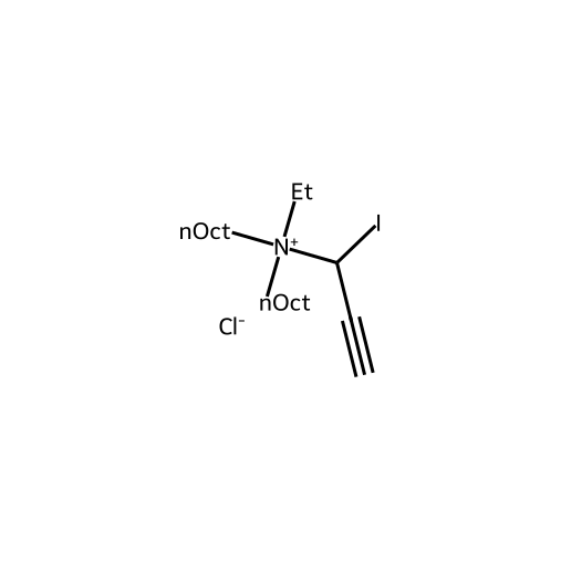 C#CC(I)[N+](CC)(CCCCCCCC)CCCCCCCC.[Cl-]